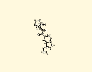 CCc1coc2cnc(C(=O)N[C@H]3CN4CC[C@H]3C4)cc12